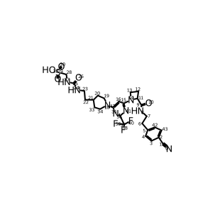 N#Cc1ccc(CCNC(=O)C2CCN2c2cc(N3CCC(CCNC(=O)NCS(=O)(=O)O)CC3)nc(C(F)(F)F)n2)cc1